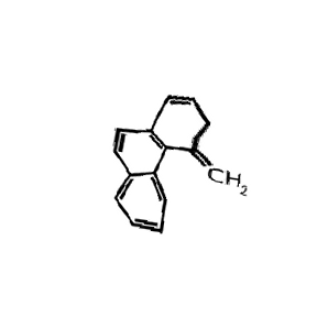 C=C1CC=Cc2ccc3ccccc3c21